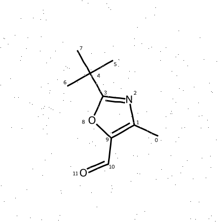 Cc1nc(C(C)(C)C)oc1C=O